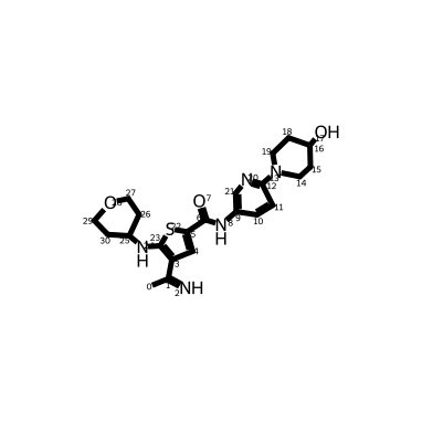 CC(=N)c1cc(C(=O)Nc2ccc(N3CCC(O)CC3)nc2)sc1NC1CCOCC1